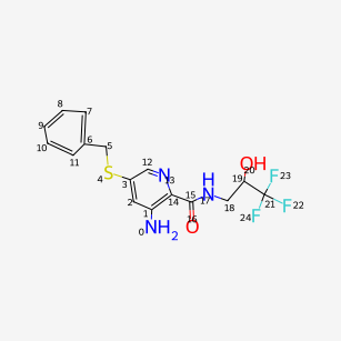 Nc1cc(SCc2ccccc2)cnc1C(=O)NCC(O)C(F)(F)F